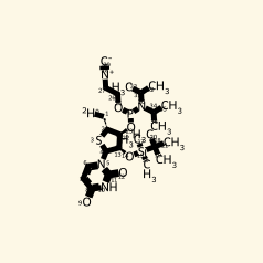 [2H]C[C@H]1SC(n2ccc(=O)[nH]c2=O)[C@H](O[Si](C)(C)C(C)(C)C)[C@@H]1OP(OCC[N+]#[C-])N(C(C)C)C(C)C